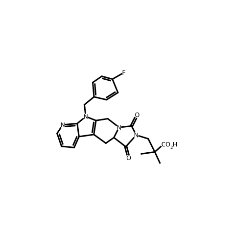 CC(C)(CN1C(=O)C2Cc3c(n(Cc4ccc(F)cc4)c4ncccc34)CN2C1=O)C(=O)O